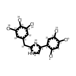 Clc1cc(Cl)c(-c2c[nH]c(Cc3cc(Cl)c(Cl)c(Cl)c3)n2)cc1Cl